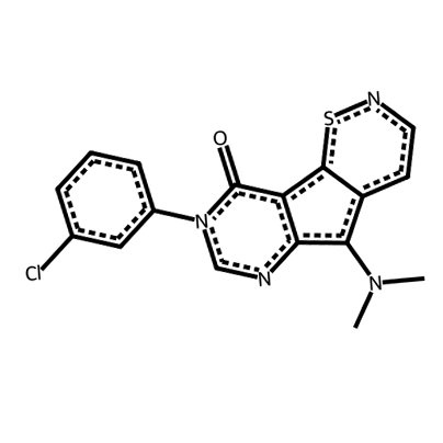 CN(C)c1c2ccnsc-2c2c(=O)n(-c3cccc(Cl)c3)cnc12